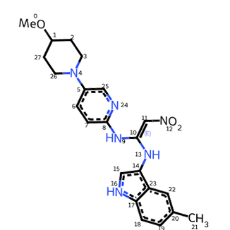 COC1CCN(c2ccc(N/C(=C/[N+](=O)[O-])Nc3c[nH]c4ccc(C)cc34)nc2)CC1